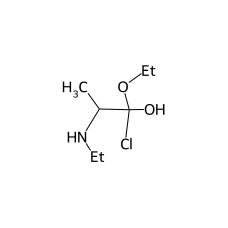 CCNC(C)C(O)(Cl)OCC